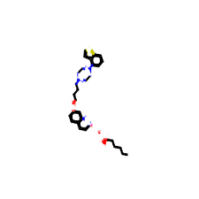 CCCCCC(=O)OCOc1ccc2ccc(OCCCCN3CCN(c4cccc5sccc45)CC3)cc2n1